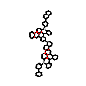 c1ccc(-c2ccc(N(c3ccc(-c4ccc5ccccc5c4)cc3)c3ccccc3-c3cc4ccccc4c4ccc(-c5cccc6cc(-c7ccc(N(c8cccc(-c9ccccc9)c8)c8ccccc8-c8cc9ccccc9c9ccccc89)cc7)ccc56)cc34)cc2)cc1